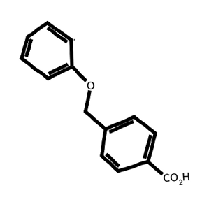 O=C(O)c1ccc(COc2[c]cccc2)cc1